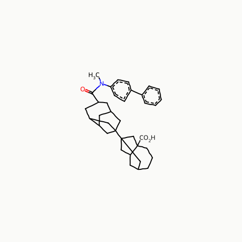 CN(C(=O)C1CC2CC3CC(C45CC6CCCC(C(=O)O)(C4)C(C6)C5)(C2)CC3C1)c1ccc(-c2ccccc2)cc1